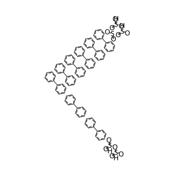 O=S=O.O=[SH](=O)O[SH](=O)=O.O=[SH](=O)O[SH](=O)=O.c1ccc(-c2ccccc2)cc1.c1ccc(-c2ccccc2)cc1.c1ccc(-c2ccccc2)cc1.c1ccc(-c2ccccc2)cc1.c1ccc(-c2ccccc2)cc1.c1ccc(-c2ccccc2)cc1.c1ccc(-c2ccccc2)cc1.c1ccc(-c2ccccc2)cc1